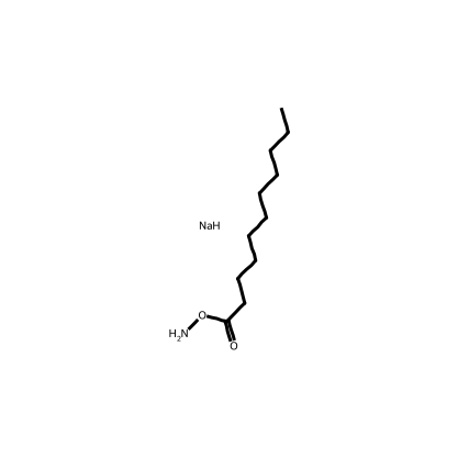 CCCCCCCCCCC(=O)ON.[NaH]